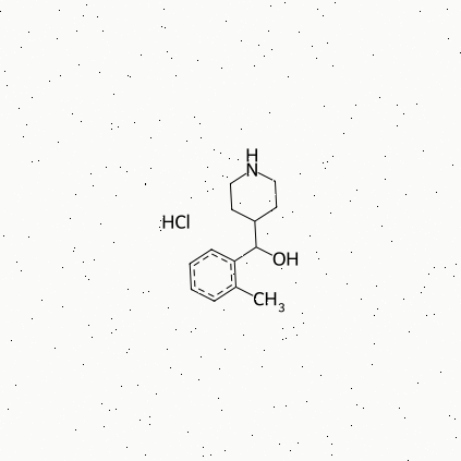 Cc1ccccc1C(O)C1CCNCC1.Cl